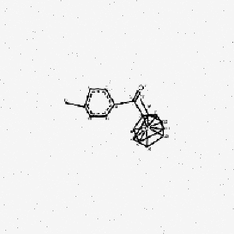 Cc1ccc(C(=O)[C]23[CH]4[CH]5[CH]6[CH]2[Fe]56432789[CH]3[CH]2[CH]7[C]8(C)[CH]39)cc1